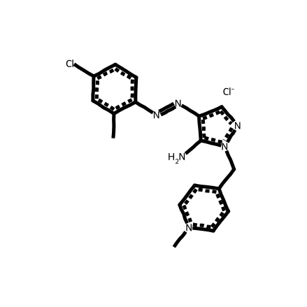 Cc1cc(Cl)ccc1N=Nc1cnn(Cc2cc[n+](C)cc2)c1N.[Cl-]